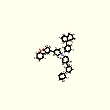 c1ccc(-c2cccc(-c3ccc(N(c4ccc(-c5ccc6oc7ccccc7c6c5)cc4)c4cccc(-c5cccc6ccccc56)c4)cc3)c2)cc1